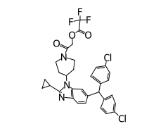 O=C(COC(=O)C(F)(F)F)N1CCC(n2c(C3CC3)nc3ccc(C(c4ccc(Cl)cc4)c4ccc(Cl)cc4)cc32)CC1